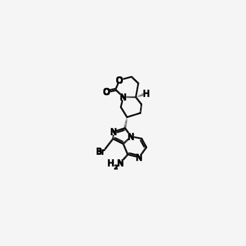 Nc1nccn2c([C@H]3CC[C@@H]4CCOC(=O)N4C3)nc(Br)c12